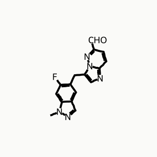 Cn1ncc2cc(Cc3cnc4ccc(C=O)nn34)c(F)cc21